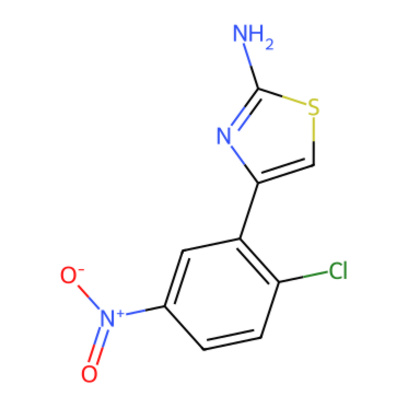 Nc1nc(-c2cc([N+](=O)[O-])ccc2Cl)cs1